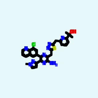 Cn1ccc(-c2nc(N)c(Cc3nnc(Cc4cccc(C(C)(C)O)n4)s3)nc2-c2cc(Cl)c3ncccc3c2)n1